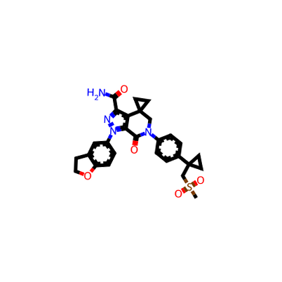 CS(=O)(=O)CC1(c2ccc(N3CC4(CC4)c4c(C(N)=O)nn(-c5ccc6c(c5)CCO6)c4C3=O)cc2)CC1